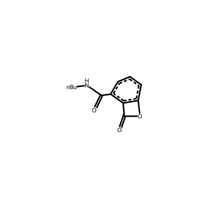 CCCCNC(=O)c1cccc2c1C(=O)O2